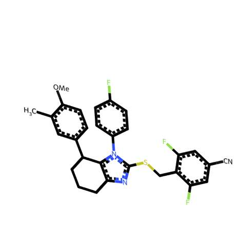 COc1ccc(C2CCCc3nc(SCc4c(F)cc(C#N)cc4F)n(-c4ccc(F)cc4)c32)cc1C